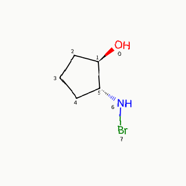 O[C@@H]1CCC[C@H]1NBr